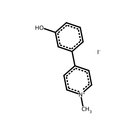 C[n+]1ccc(-c2cccc(O)c2)cc1.[I-]